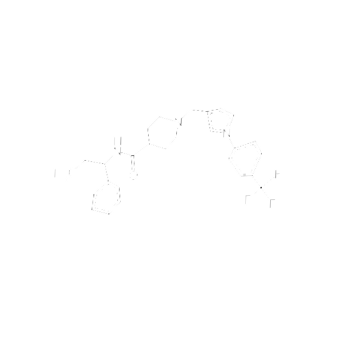 CCC(NC(=O)C1CCN(Cc2ccn(-c3ccc(C(F)(F)F)cc3)c2)CC1)c1ccccc1